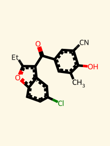 CCc1oc2ccc(Cl)cc2c1C(=O)c1cc(C)c(O)c(C#N)c1